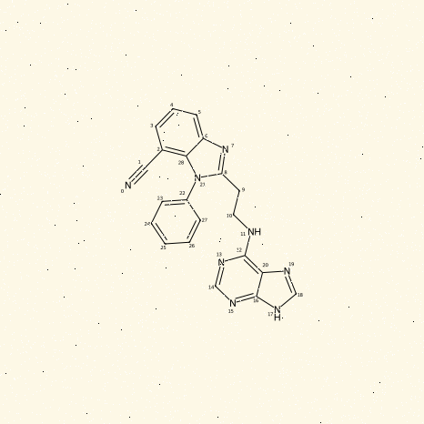 N#Cc1cccc2nc(CCNc3ncnc4[nH]cnc34)n(-c3ccccc3)c12